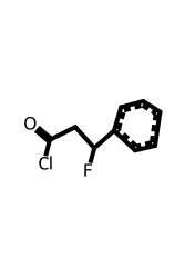 O=C(Cl)CC(F)c1ccccc1